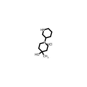 CC1(O)CCN(C2CCCNC2)CC1.Cl